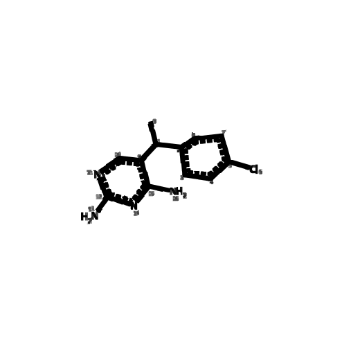 CC(c1ccc(Cl)cc1)c1cnc(N)nc1N